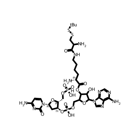 CC(C)(C)SSCC(N)C(=O)NCCCC[C@@H](N)C(=O)OC1C(COP(=O)(O)O[C@H]2C[C@H](n3ccc(N)nc3=O)O[C@@H]2COP(=O)(O)O)OC(n2cnc3c(N)ncnc32)C1O